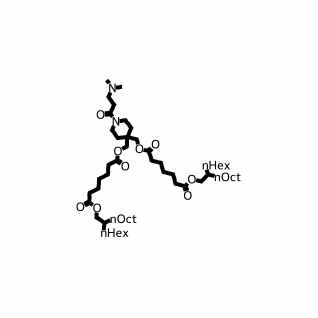 CCCCCCCCC(CCCCCC)COC(=O)CCCCCC(=O)OCC1(COC(=O)CCCCCC(=O)OCC(CCCCCC)CCCCCCCC)CCN(C(=O)CCN(C)C)CC1